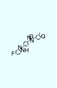 COc1ccc(-c2nc(-c3ccc(-c4nc5cc(F)ccc5[nH]4)cc3)no2)cc1C